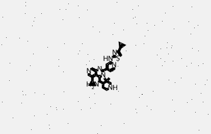 CC1(C)CNCCC1C(N)c1nc(-c2ccnc(Nc3nc(C4CC4)cs3)c2)nc2cncc(C3CC3)c12